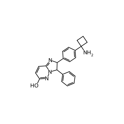 NC1(c2ccc(C3N=C4C=CC(O)=NN4C3c3ccccc3)cc2)CCC1